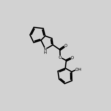 O=C(OC(=O)c1ccccc1O)c1cc2ccccc2[nH]1